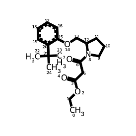 CCOC(=O)CC(=O)N1CCCC1COc1ccccc1C(C)(C)C